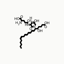 CCCCC/C=C\CC=CC=C/C=C/[C@@H]([C@@H](O)CCCC(=O)O)N(CC(=O)O)C(=O)C(CS)NC(=O)CCC(N)C(=O)O